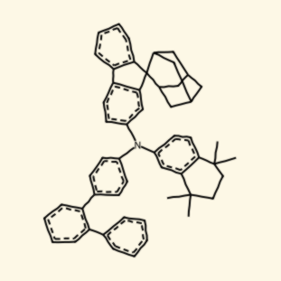 CC1(C)CCC(C)(C)c2cc(N(c3ccc(-c4ccccc4-c4ccccc4)cc3)c3ccc4c(c3)C3(c5ccccc5-4)C4CC5CC(C4)CC3C5)ccc21